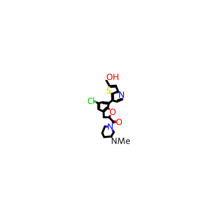 CNC1CCCN(C(=O)C2Cc3cc(Cl)cc(-c4ccnc5cc(CO)sc45)c3O2)C1